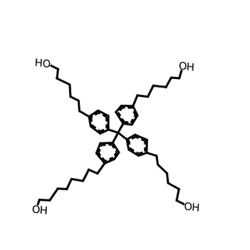 OCCCCCCCCc1ccc(C(c2ccc(CCCCCCO)cc2)(c2ccc(CCCCCCO)cc2)c2ccc(CCCCCCO)cc2)cc1